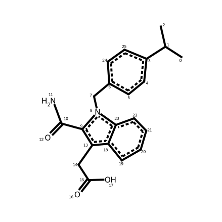 CC(C)c1ccc(Cn2c(C(N)=O)c(CC(=O)O)c3ccccc32)cc1